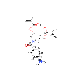 C=C(C)C(=O)OCCN(CCOC(=O)C(=C)C)C(=O)c1ccc(N(C)C)cc1